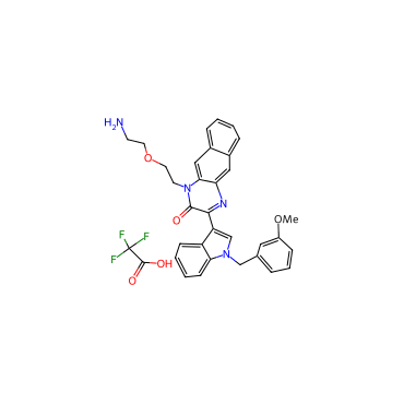 COc1cccc(Cn2cc(-c3nc4cc5ccccc5cc4n(CCOCCN)c3=O)c3ccccc32)c1.O=C(O)C(F)(F)F